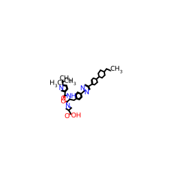 CCCC1CCC(C2CC=C(c3cnc(-c4ccc(CC(NC(=O)c5ccc(C(C)(C)C)nc5)C(=O)N5CC(C(=O)O)C5)cc4)nc3)CC2)CC1